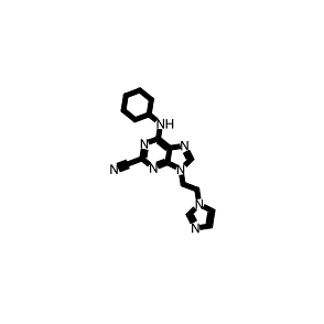 N#Cc1nc(NC2CCCCC2)c2ncn(CCn3ccnc3)c2n1